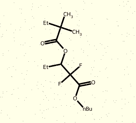 CCCCOC(=O)C(F)(F)C(CC)OC(=O)C(C)(C)CC